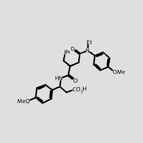 CCN(C(=O)CC(CC(C)C)C(=O)NC(CC(=O)O)c1ccc(OC)cc1)c1ccc(OC)cc1